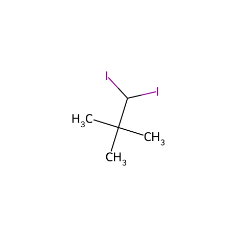 CC(C)(C)C(I)I